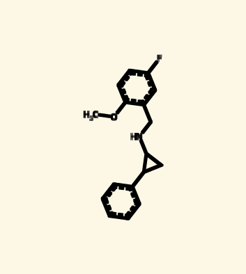 COc1ccc(F)cc1CNC1CC1c1ccccc1